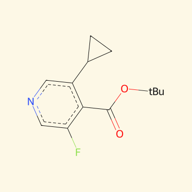 CC(C)(C)OC(=O)c1c(F)cncc1C1CC1